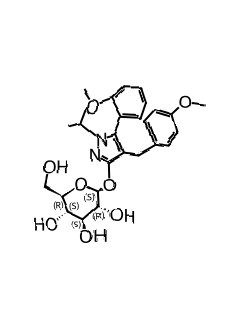 COc1ccc(Cc2c(O[C@@H]3O[C@H](CO)[C@@H](O)[C@H](O)[C@H]3O)nn(C(C)C)c2-c2ccccc2OC)cc1